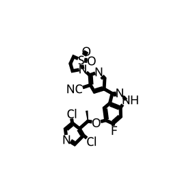 C[C@@H](Oc1cc2c(-c3cnc(N4CCCS4(=O)=O)c(C#N)c3)n[nH]c2cc1F)c1c(Cl)cncc1Cl